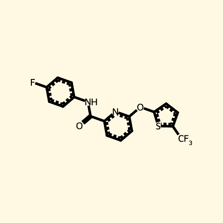 O=C(Nc1ccc(F)cc1)c1cccc(Oc2ccc(C(F)(F)F)s2)n1